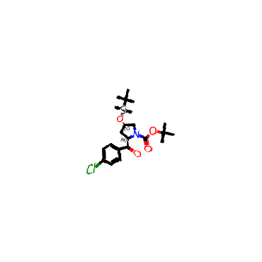 CC(C)(C)OC(=O)N1C[C@@H](O[Si](C)(C)C(C)(C)C)C[C@@H]1C(=O)c1ccc(Cl)cc1